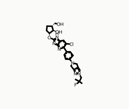 CC(C)(F)Cn1cc2c(n1)CN(c1ccc(-c3nc4nc(O[C@@H]5CC[C@H](CO)[C@H]5O)[nH]c4cc3Cl)cc1)C2